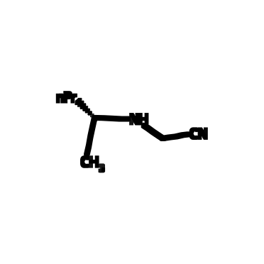 CCC[C@@H](C)NCC#N